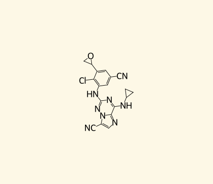 N#Cc1cc(Nc2nc(NC3CC3)c3ncc(C#N)n3n2)c(Cl)c(C2CO2)c1